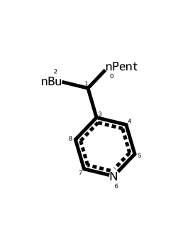 CCCCCC(CCCC)c1ccncc1